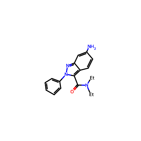 CCN(CC)C(=O)c1c2ccc(N)cc2nn1-c1ccccc1